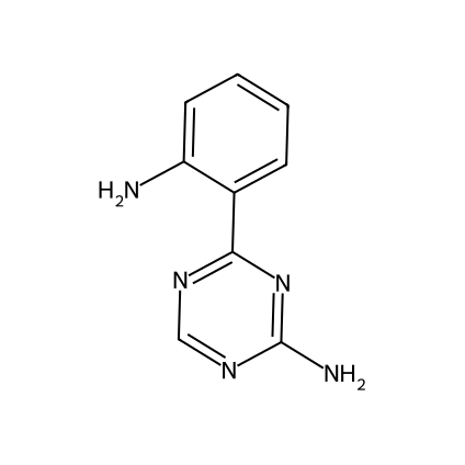 Nc1ncnc(-c2ccccc2N)n1